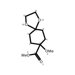 COC(=O)C1(OC)CCC2(CC1)OCCO2